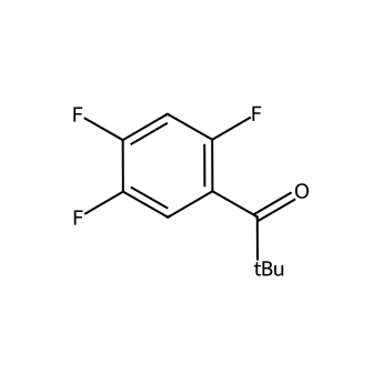 CC(C)(C)C(=O)c1cc(F)c(F)cc1F